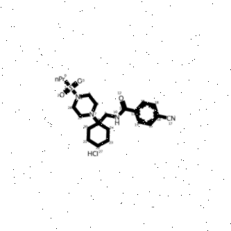 CCCS(=O)(=O)N1CCN(C2(CNC(=O)c3ccc(C#N)cc3)CCCCC2)CC1.Cl